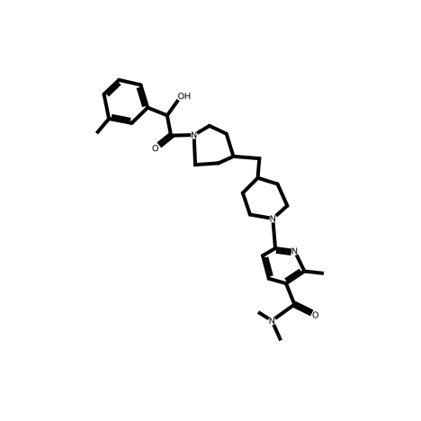 Cc1cccc(C(O)C(=O)N2CCC(CC3CCN(c4ccc(C(=O)N(C)C)c(C)n4)CC3)CC2)c1